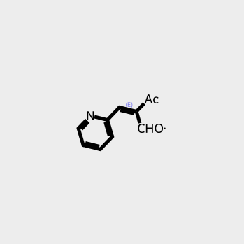 CC(=O)/C([C]=O)=C/c1ccccn1